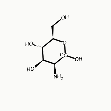 N[C@H]1[C@@H](O)[C@H](O)[C@@H](CO)O[14CH]1O